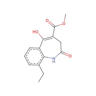 CCc1cccc2c1NC(=O)CC(C(=O)OC)=C2O